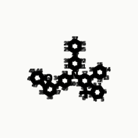 CC1(C)c2ccccc2-c2c(-c3ccccc3)cc(N(c3ccc(-c4ccccc4)cc3)c3ccc(-c4cccc5c4oc4ccccc45)cc3)cc21